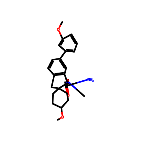 COc1cccc(-c2ccc3c(c2)C2(N=C(N)N(C)C2=O)C2(CCC(OC)CC2)C3)c1